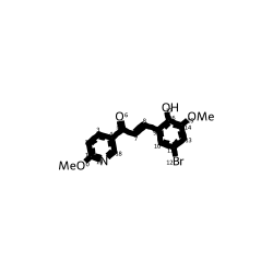 COc1ccc(C(=O)C=Cc2cc(Br)cc(OC)c2O)cn1